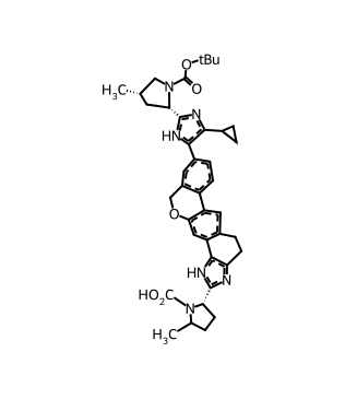 CC1CC[C@@H](c2nc3c([nH]2)-c2cc4c(cc2CC3)-c2ccc(-c3[nH]c([C@@H]5C[C@H](C)CN5C(=O)OC(C)(C)C)nc3C3CC3)cc2CO4)N1C(=O)O